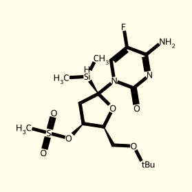 C[SiH](C)[C@]1(n2cc(F)c(N)nc2=O)C[C@H](OS(C)(=O)=O)[C@H](COC(C)(C)C)O1